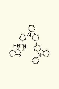 C1=CC2C3C=CC(c4ccc5c(c4)c4ccccc4n5-c4ccccc4)=CC3N(c3cccc(C4N=Cc5sc6ccccc6c5N4)c3)C2C=C1